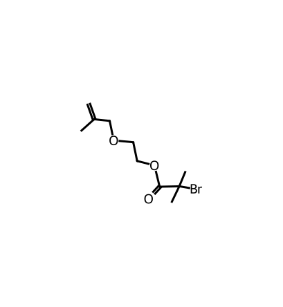 C=C(C)COCCOC(=O)C(C)(C)Br